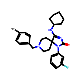 N#Cc1ccc(CN2CCC3(CC2)C(NC2CCCCC2)=NC(=O)N3c2cccc(F)c2)cc1